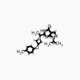 Cc1ccc(OC2CN(C(C)c3nc4c(cnn4C(C)C)c(=O)[nH]3)C2)cc1